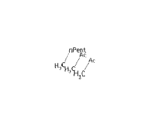 CC(C)=O.CC(C)=O.CCCCCC